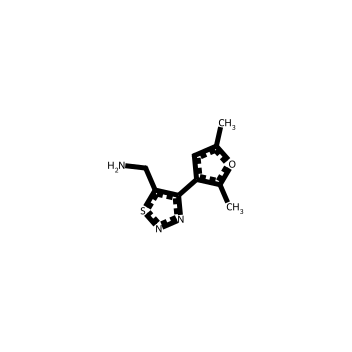 Cc1cc(-c2nnsc2CN)c(C)o1